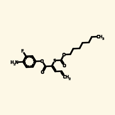 C=C/C=C(\SC(=O)OCCCCCCC)C(=O)Oc1ccc(N)c(F)c1